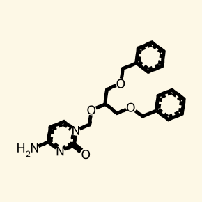 Nc1ccn(COC(COCc2ccccc2)COCc2ccccc2)c(=O)n1